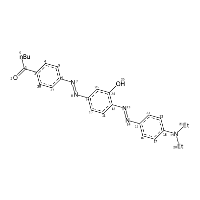 CCCCC(=O)c1ccc(/N=N/c2ccc(/N=N/c3ccc(N(CC)CC)cc3)c(O)c2)cc1